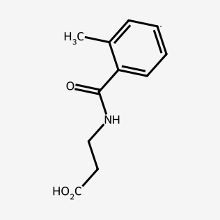 Cc1c[c]ccc1C(=O)NCCC(=O)O